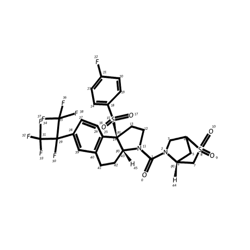 O=C(N1CC2C[C@@H]1CS2(=O)=O)N1CC[C@@]2(S(=O)(=O)c3ccc(F)cc3)c3ccc(C(F)(C(F)(F)F)C(F)(F)F)cc3CC[C@@H]12